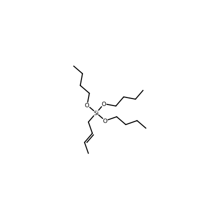 C/C=C/C[Si](OCCCC)(OCCCC)OCCCC